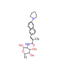 CCC1OC(O)C(NC(=O)/C(C#N)=C/c2ccc3cc(N4CCCCC4)ccc3c2)C(O)C1O